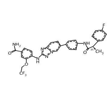 C[C@@H](C(=O)Nc1ccc(-c2ccc3nc(Nc4ccc(C(N)=O)cc4OCC(F)(F)F)nn3c2)cc1)c1ccc(F)cc1